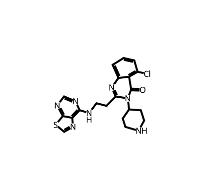 O=c1c2c(Cl)cccc2nc(CCNc2ncnc3scnc23)n1C1CCNCC1